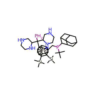 CC(C)(C)P(C[C]12[C]3(C(P)(C4CNCCN4)C4CNCCN4)[CH]4[C]5([Si](C)(C)C)[C]1([Si](C)(C)C)[Fe]42351678[CH]2[CH]1[CH]6[CH]7[CH]28)C1C2CC3CC(C2)CC1C3